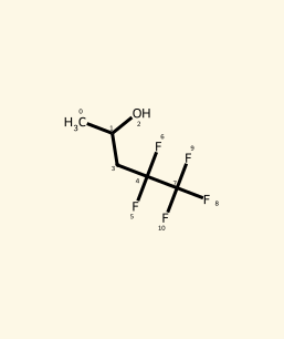 CC(O)CC(F)(F)C(F)(F)F